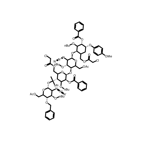 CCCCOC1[C@H](C(C)(CCC)O[C@H]2OC(COC(C)=O)[C@@H](OCc3ccccc3)[C@H](OCCCC)C2N=[N+]=[N-])C(COC(=O)CCl)O[C@@H](O[C@@H]2C(COC(C)=O)O[C@H](O[C@@H]3C(COC(=O)CCl)C[C@@H](Oc4ccc(OC)cc4)[C@@H](OC(=O)c4ccccc4)C3OCCCC)C(N=[N+]=[N-])[C@H]2OCCCC)[C@H]1OC(=O)c1ccccc1